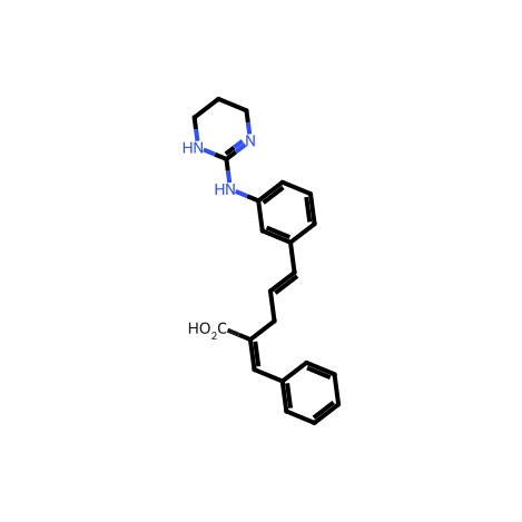 O=C(O)C(=Cc1ccccc1)CC=Cc1cccc(NC2=NCCCN2)c1